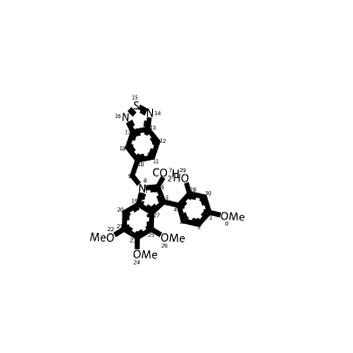 COc1ccc(-c2c(C(=O)O)n(Cc3ccc4nsnc4c3)c3cc(OC)c(OC)c(OC)c23)c(O)c1